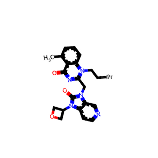 Cc1cccc2c1c(=O)nc(Cn1c(=O)n(C3COC3)c3ccncc31)n2CCC(C)C